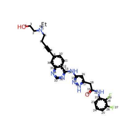 CCN(CCO)CCC#Cc1ccc2c(Nc3cc(CC(=O)Nc4cccc(F)c4F)[nH]n3)ncnc2c1